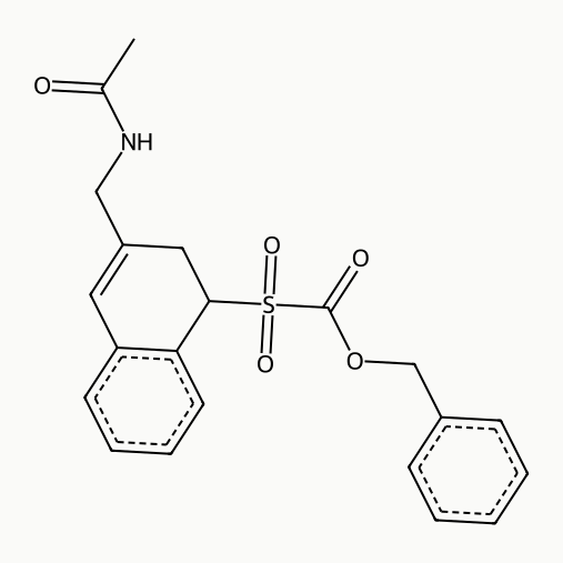 CC(=O)NCC1=Cc2ccccc2C(S(=O)(=O)C(=O)OCc2ccccc2)C1